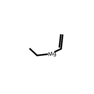 C=[CH][Mg][CH2]C